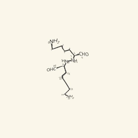 NCCCC[C@@H](C=O)NN[C@H](C=O)CCCCN